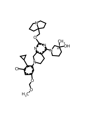 COCOc1cc(Cl)c(C2CC2)c(N2CCc3c(nc(OCC45CCCN4CCC5)nc3N3CCC[C@@](C)(O)C3)C2)c1